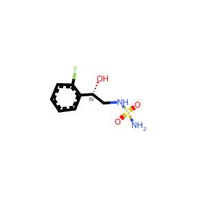 NS(=O)(=O)NC[C@@H](O)c1ccccc1F